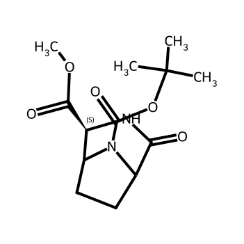 COC(=O)[C@H]1NC(=O)C2CCC1N2C(=O)OC(C)(C)C